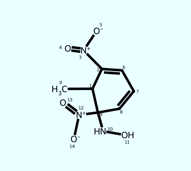 CC1C([N+](=O)[O-])=CC=CC1(NO)[N+](=O)[O-]